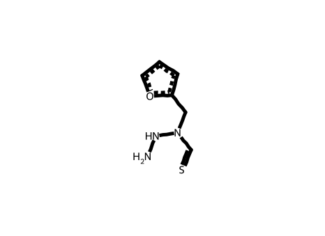 NNN(C=S)Cc1ccco1